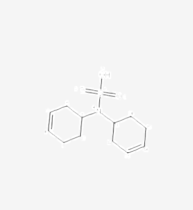 O=S(=O)(O)N(C1CC=CCC1)C1CC=CCC1